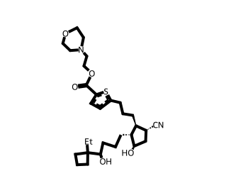 CCC1(C(O)CCC[C@@H]2[C@@H](CCCc3ccc(C(=O)OCCN4CCOCC4)s3)[C@H](C#N)C[C@H]2O)CCC1